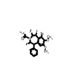 COc1cc2c(c(Br)c1OC)C(F)C(F)N(C(C)=O)C(F)C2c1ccccc1